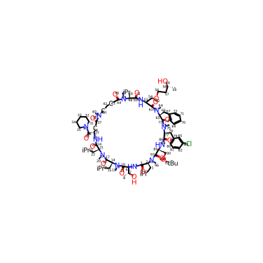 CC(C)C[C@H]1C(=O)N[C@@H]([C@@H](C)O)C(=O)N(C)[C@@H](CC(C)C)C(=O)N(C)[C@@H](CC(C)C)C(=O)N[C@H](C(=O)N2CCCCC2)CC(=O)N(C)CCCC(=O)N(C)[C@@H](C(C)C)C(=O)NC(COCC[C@@H](C)O)C(=O)N(C)[C@@H](Cc2ccccc2)C(=O)N(C)[C@@H](Cc2cccc(Cl)c2)C(=O)N[C@@H](COC(C)(C)C)C(=O)N1C